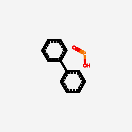 O=PO.c1ccc(-c2ccccc2)cc1